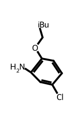 CCC(C)COc1ccc(Cl)cc1N